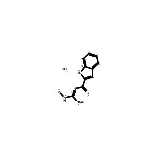 CN/C(=N\C(=O)c1cc2ccccc2[nH]1)NBr.Cl